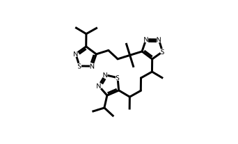 CC(C)c1nsnc1CCC(C)(C)c1nnsc1C(C)CCC(C)c1snnc1C(C)C